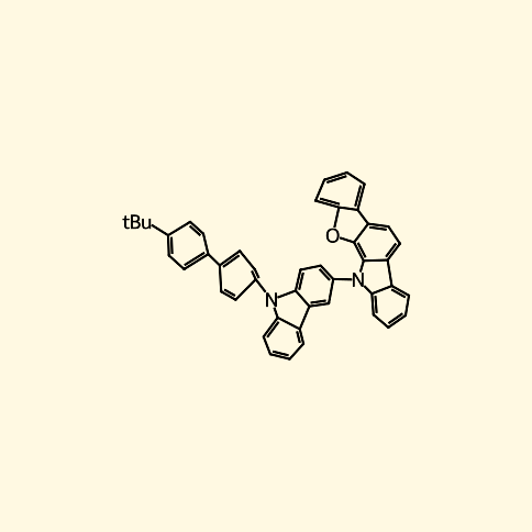 CC(C)(C)c1ccc(-c2ccc(-n3c4ccccc4c4cc(-n5c6ccccc6c6ccc7c8ccccc8oc7c65)ccc43)cc2)cc1